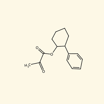 CC(=O)C(=O)OC1CCCCC1c1ccccc1